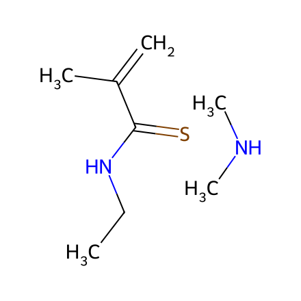 C=C(C)C(=S)NCC.CNC